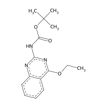 CCOc1nc(NC(=O)OC(C)(C)C)nc2ccccc12